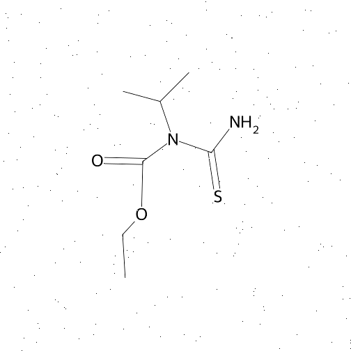 CCOC(=O)N(C(N)=S)C(C)C